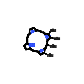 CCCCC1=Cc2cc3ccc(cc4nc(cc5[nH]c(c(CCCC)c1n2)c(CCCC)c5CCCC)C=C4)[nH]3